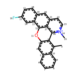 Cc1c2c(cc3ccccc13)Oc1c3cc(F)ccc3cc3cc[n+](C)c-2c13